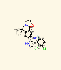 CN1CC(C)(C)c2ccc(N[C@]3(c4c(F)ccc(Cl)c4Cl)CCNC3)cc2C1=O